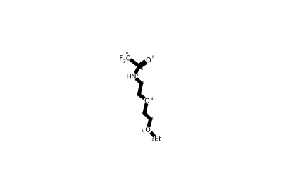 CCOCCOCCNC(=O)C(F)(F)F